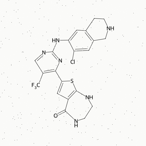 O=C1NCCNc2sc(-c3nc(Nc4cc5c(cc4Cl)CNCC5)ncc3C(F)(F)F)cc21